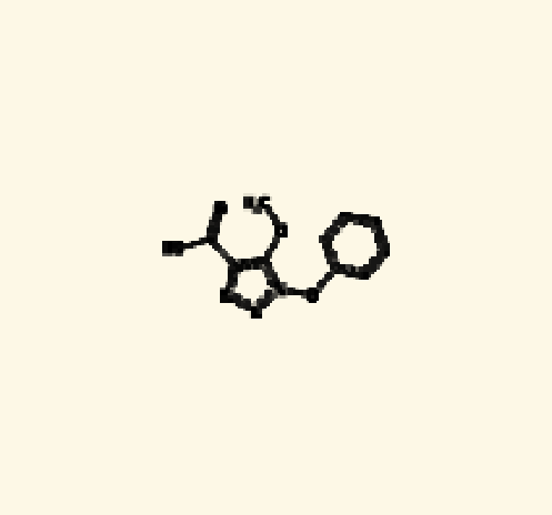 COc1c(C(=O)O)nnn1Oc1ccccc1